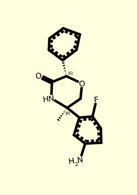 C[C@@]1(c2cc(N)ccc2F)CO[C@@H](c2ccccc2)C(=O)N1